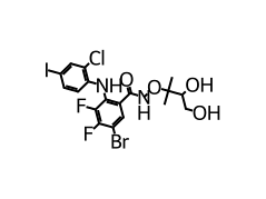 CC(C)(ONC(=O)c1cc(Br)c(F)c(F)c1Nc1ccc(I)cc1Cl)C(O)CO